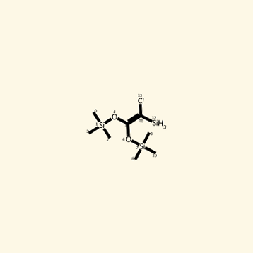 C[Si](C)(C)OC(O[Si](C)(C)C)=C([SiH3])Cl